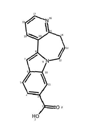 O=C(O)c1ccc2cc3n(c2c1)C=CCc1ncccc1-3